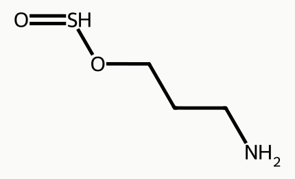 NCCCO[SH]=O